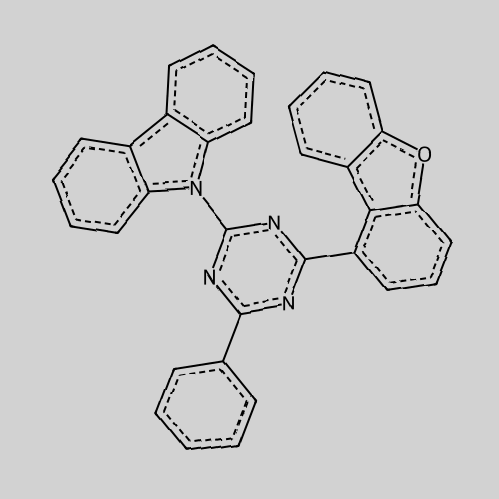 c1ccc(-c2nc(-c3cccc4oc5ccccc5c34)nc(-n3c4ccccc4c4ccccc43)n2)cc1